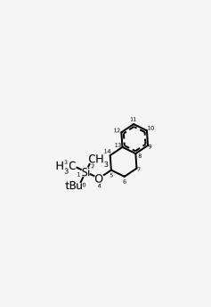 CC(C)(C)[Si](C)(C)OC1CCc2ccccc2C1